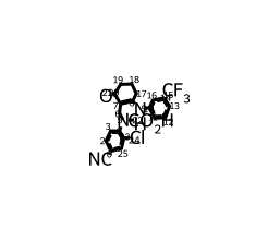 N#Cc1ccc(N(CC2=C(Nc3cccc(C(F)(F)F)c3)CCCC2=O)C(=O)O)c(Cl)c1